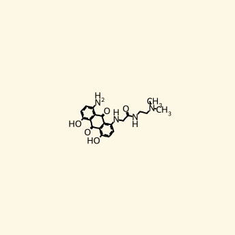 CN(C)CCNC(=O)CNc1ccc(O)c2c1C(=O)c1c(N)ccc(O)c1C2=O